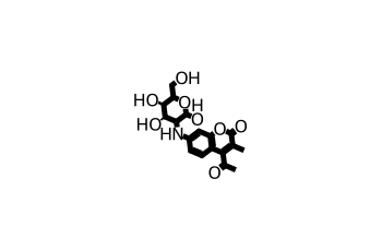 CC(=O)c1c(C)c(=O)oc2cc(NC3C(O)OC(CO)[C@H](O)[C@H]3O)ccc12